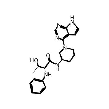 C[C@H](O)[C@@H](Nc1ccccc1)C(=O)N[C@@H]1CCCN(c2ncnc3[nH]ccc23)C1